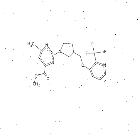 COC(=O)c1cc(C)nc(N2CCC(COc3cccnc3C(F)(F)F)C2)n1